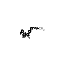 CCCOCCCC1CCN(c2ccc([C@H]3CN(c4nc(-c5ccncc5F)cc(=O)n4N)CCO3)cc2)C1